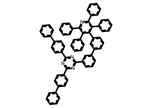 c1ccc(-c2ccc(-c3nc(-c4ccc(-c5ccccc5)cc4)nc(-c4cccc(-c5cccc(-c6c(-c7ccccc7)c(-c7ccccc7)nc(-c7ccccc7)c6-c6ccccc6)c5)c4)n3)cc2)cc1